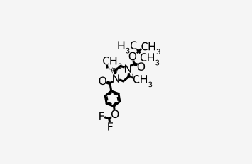 CC[C@@H]1CN(C(=O)OC(C)(C)C)[C@@H](C)CN1C(=O)c1ccc(OC(F)F)cc1